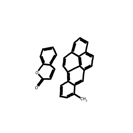 Cc1cccc2c1cc1ccc3cccc4ccc2c1c34.O=c1ccc2ccccc2o1